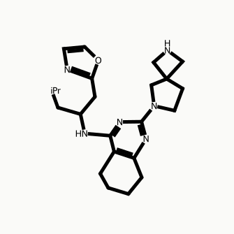 CC(C)CC(Cc1ncco1)Nc1nc(N2CCC3(CNC3)C2)nc2c1CCCC2